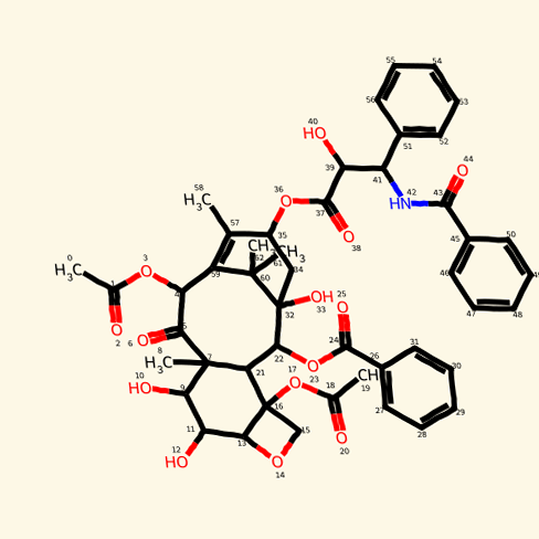 CC(=O)OC1C(=O)C2(C)C(O)C(O)C3OCC3(OC(C)=O)C2C(OC(=O)c2ccccc2)C2(O)CC(OC(=O)C(O)C(NC(=O)c3ccccc3)c3ccccc3)C(C)=C1C2(C)C